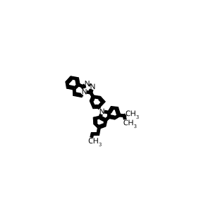 CCCc1ccc2c(c1)c1cc(C(C)C)ccc1n2-c1ccc(-c2nnc3c4ccccc4ccn23)cc1